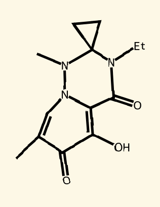 CCN1C(=O)c2c(O)c(=O)c(C)cn2N(C)C12CC2